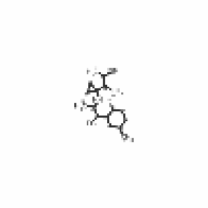 CCC1CCC(C)CC1C(CC)C(C)NC1(C(C)C(C)C(C)C)CC1